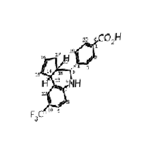 O=C(O)c1ccc([C@@H]2Nc3ccc(C(F)(F)F)cc3[C@@H]3C=CC[C@@H]32)cc1